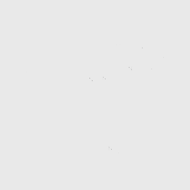 Cc1cc(-c2cc(C(=O)NC3C4(C)CCC(C4)C3(C)C)nn2Cc2ccc(CN)cc2)ccc1CI